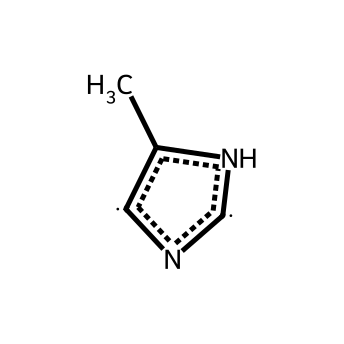 Cc1[c]n[c][nH]1